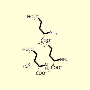 N[C@@H](CCC(=O)O)C(=O)[O-].N[C@@H](CCC(=O)O)C(=O)[O-].N[C@@H](CCC(=O)O)C(=O)[O-].[Ca+2].[K+]